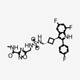 CNC(=O)c1noc(CNS(=O)(=O)NC[C@H]2C[C@H](c3c(-c4ccc(F)cc4)[nH]c4c(F)cc(F)cc43)C2)n1